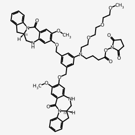 COCCOCCOCCN(CCCC(=O)ON1C(=O)CCC1=O)c1cc(COc2cc3c(cc2OC)C(=O)N2c4ccccc4C[C@H]2CN3)cc(COc2cc3c(cc2OC)C(=O)N2c4ccccc4C[C@H]2CN3)c1